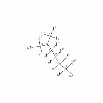 IC(I)(I)[C](C(I)(I)I)C(I)(I)C(I)(I)C(I)(I)C(I)(I)I